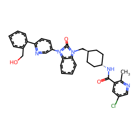 Cc1ncc(Cl)cc1C(=O)N[C@H]1CC[C@H](Cn2c(=O)n(-c3ccc(-c4ccccc4CO)nc3)c3ccccc32)CC1